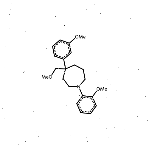 COCC1(c2cccc(OC)c2)CCCN(c2ccccc2OC)CC1